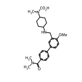 COc1ccc(-c2ccc(C(=O)N(C)C)cc2)cc1CNC1CCC(N(C)C(=O)O)CC1